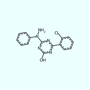 NN(c1ccccc1)c1nc(O)nc(-c2ccccc2Cl)n1